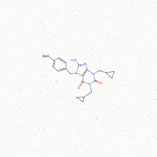 COc1ccc(Cn2c(N)nc3c2c(=O)n(CC2CC2)c(=O)n3CC2CC2)cc1